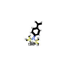 C=C(C)c1ccc(N(S(C)(C)C(C)(C)C)S(C)(C)C(C)(C)C)cc1